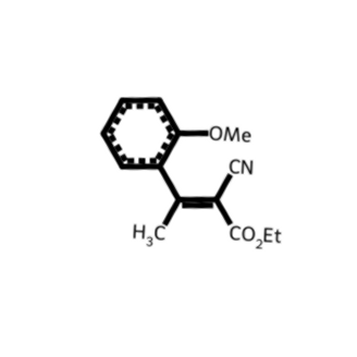 CCOC(=O)C(C#N)=C(C)c1ccccc1OC